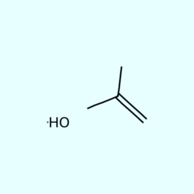 C=C(C)C.[OH]